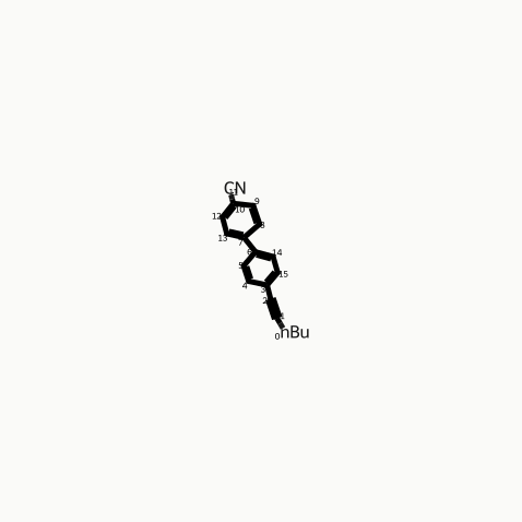 CCCCC#Cc1ccc(-c2ccc(C#N)cc2)cc1